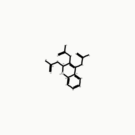 C=C(C)CC1=C(CC(=C)C)C(CC(=C)C)Oc2ccccc21